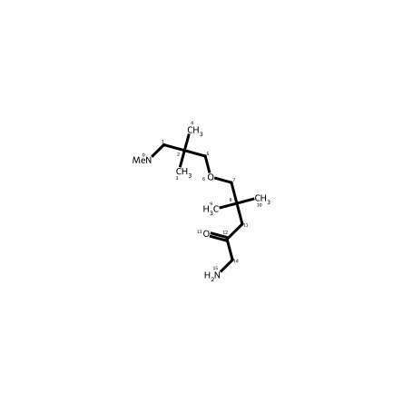 CNCC(C)(C)COCC(C)(C)CC(=O)CN